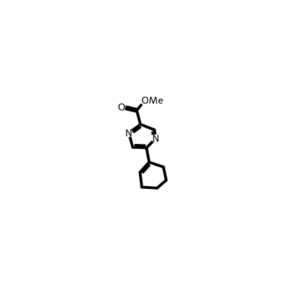 COC(=O)c1cnc(C2=CCCCC2)cn1